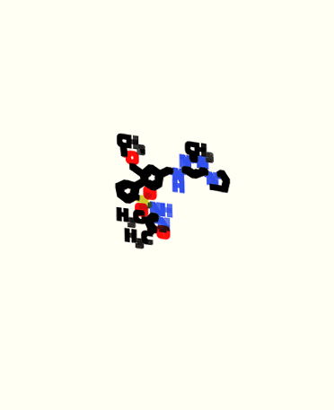 CCOCc1cc(CNc2cc(N3CCCC3)nc(C)n2)ccc1-c1ccccc1S(=O)(=O)Nc1noc(C)c1C